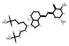 C=C1/C(=C/C=C2\CCC[C@@]3(C)C2CC[C@@H]3C(CCCC(C)(C)O)CCCC(C)(C)O)C[C@@H](O)CC1O